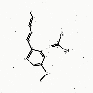 C/C=C/C=C/c1ccc(OC)cc1.O=C(O)O